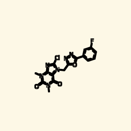 Cn1c(=O)c2c(nc(Cl)n2Cc2nnc(-c3cccc(F)c3)o2)n(C)c1=O